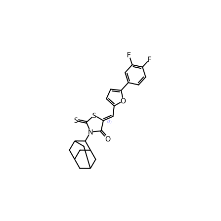 O=C1/C(=C/c2ccc(-c3ccc(F)c(F)c3)o2)SC(=S)N1C1C2CC3CC(C2)CC1C3